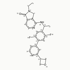 CCN1Cc2c(ccnc2NC(C)c2cc(F)c(-c3ccnc(C4COC4)c3)cc2F)C1=O